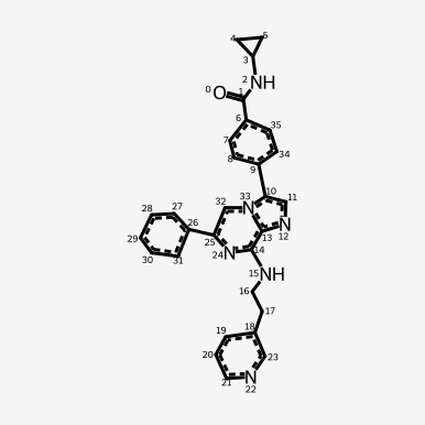 O=C(NC1CC1)c1ccc(-c2cnc3c(NCCc4cccnc4)nc(-c4ccccc4)cn23)cc1